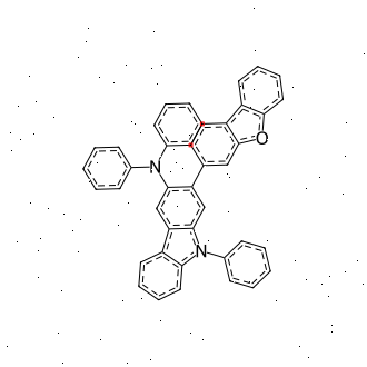 c1ccc(N(c2ccccc2)c2cc3c4ccccc4n(-c4ccccc4)c3cc2-c2ccc3c(c2)oc2ccccc23)cc1